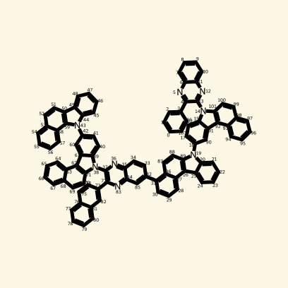 c1ccc(-c2nc3ccccc3nc2-n2c3ccc(-n4c5ccccc5c5c6cccc(-c7ccc8nc(-n9c%10ccc(-n%11c%12ccccc%12c%12ccc%13ccccc%13c%12%11)cc%10c%10c%11ccccc%11ccc%109)c(-c9ccc%10ccccc%10c9)nc8c7)c6ccc54)cc3c3c4ccccc4ccc32)cc1